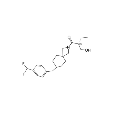 CC[C@H](CO)C(=O)N1CC2(CCC(Cc3ccc(C(F)F)cc3)CC2)C1